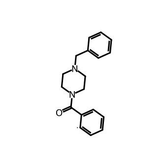 O=C(c1[c]cccc1)N1CCN(Cc2ccccc2)CC1